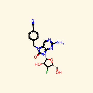 N#Cc1ccc(Cn2c(=O)n([C@@H]3O[C@H](CO)[C@@H](F)[C@H]3O)c3nc(N)ncc32)cc1